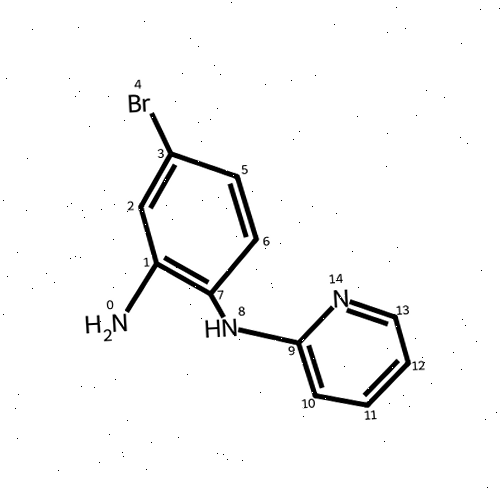 Nc1cc(Br)ccc1Nc1ccccn1